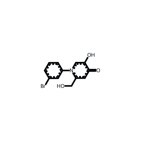 O=c1cc(CO)n(-c2cccc(Br)c2)cc1O